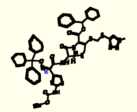 Cn1cc(SCSC2=C(C(=O)OC(c3ccccc3)c3ccccc3)N3C(=O)C(NC(=O)/C(=N\OC(c4ccccc4)(c4ccccc4)c4ccccc4)c4csc(NC(=O)OC(C)(C)C)n4)[C@@H]3SC2)nn1